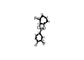 Fc1ccc(B2Oc3cccc(F)c3O2)cc1F